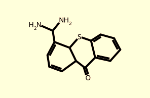 NC(N)C1=CC=CC2C(=O)c3ccccc3SC12